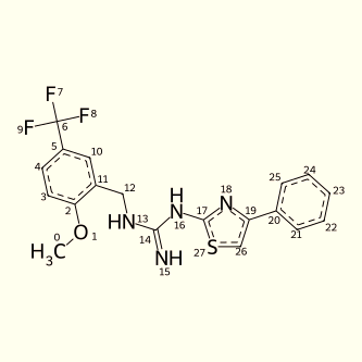 COc1ccc(C(F)(F)F)cc1CNC(=N)Nc1nc(-c2ccccc2)cs1